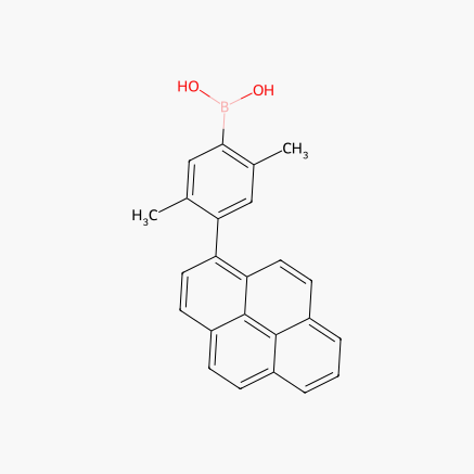 Cc1cc(-c2ccc3ccc4cccc5ccc2c3c45)c(C)cc1B(O)O